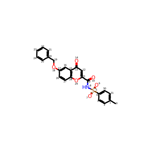 Cc1ccc(S(=O)(=O)NC(=O)c2cc(=O)c3cc(OCc4ccccc4)ccc3o2)cc1